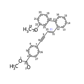 COC(=O)c1ccc(C#C/C=C/c2ccccc2-c2cccc(OC)c2)cc1